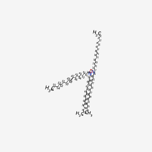 CCCCCCCCC=CCCCCCCCCN(CCCCCCCCC=CCCCCCCCC)ON(CCCCCCCCC=CCCCCCCCC)CCCCCCCCC=CCCCCCCCC